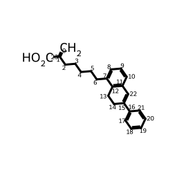 C=C(CCCCCc1cccc2c1CCC(c1ccccc1)=C2)C(=O)O